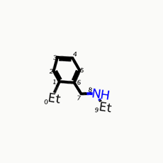 [CH2]Cc1ccccc1CNCC